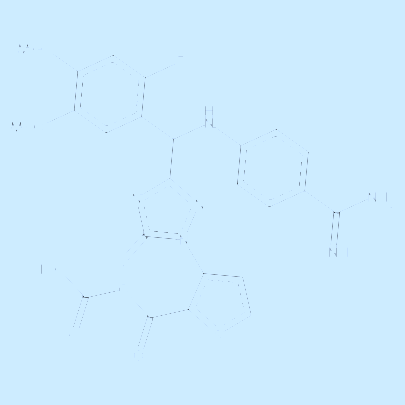 COc1cc(F)c(C(Nc2ccc(C(=N)N)cc2)c2nn(-c3ccsc3C(=O)OC(=O)C(F)(F)F)c(=O)[nH]2)cc1OC